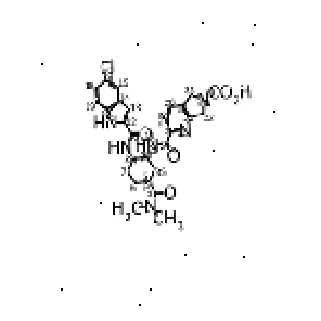 CN(C)C(=O)[C@H]1CC[C@H](NC(=O)c2cc3cc(Cl)ccc3[nH]2)[C@H](NC(=O)c2ncc3c(n2)CN(C(=O)O)C3)C1